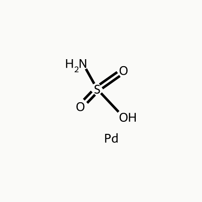 NS(=O)(=O)O.[Pd]